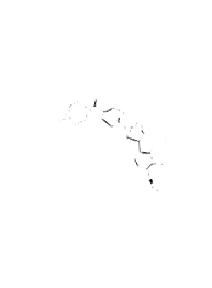 CCN1CCN(C(=O)c2ccc(-n3ncc(-c4ccc(C#N)c(F)c4C)c3OC)nc2)CC1